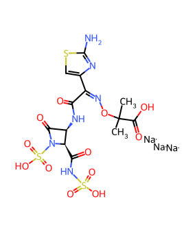 CC(C)(ON=C(C(=O)N[C@@H]1C(=O)N(S(=O)(=O)O)[C@@H]1C(=O)NS(=O)(=O)O)c1csc(N)n1)C(=O)O.[Na].[Na].[Na]